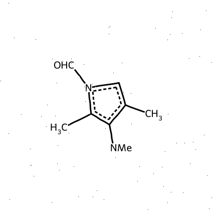 CNc1c(C)cn(C=O)c1C